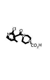 Cc1ccnc(Cl)c1C(=O)N1CCN(C(=O)O)CC1